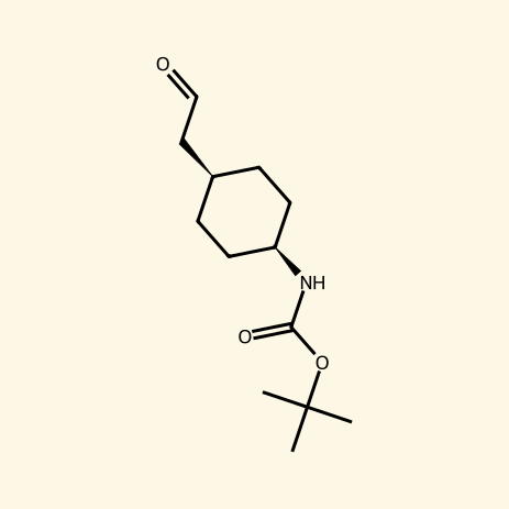 CC(C)(C)OC(=O)N[C@H]1CC[C@@H](CC=O)CC1